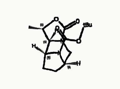 C[C@@H]1OC(=O)N2C[C@H]3CC[C@@H]([C@@H]12)N3C(=O)OC(C)(C)C